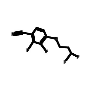 N#Cc1ccc(OCCC(F)F)c(F)c1F